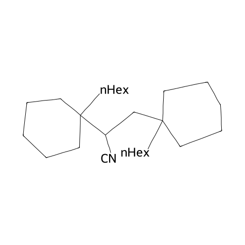 CCCCCCC1(CC(C#N)C2(CCCCCC)CCCCC2)CCCCC1